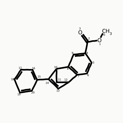 COC(=O)c1ccc2c(c1)C1CC2C=C1c1ccccc1